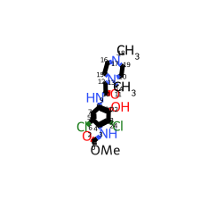 COC(=O)Nc1c(Cl)cc(NC(=O)C[N+]2(C)CCN(C)CC2)c(O)c1Cl